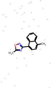 Cc1nc(-c2ccc(C)c3ccccc23)no1